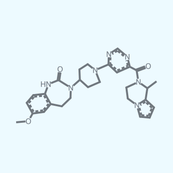 COc1ccc2c(c1)CCN(C1CCN(c3cc(C(=O)N4CCn5cccc5C4C)ncn3)CC1)C(=O)N2